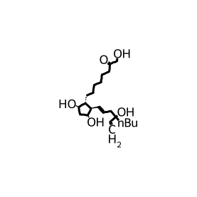 C=CC(O)(CC=C[C@@H]1[C@@H](CCCCCCC(=O)CO)[C@@H](O)C[C@H]1O)CCCC